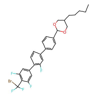 CCCCCC1COC(c2ccc(-c3ccc(-c4cc(F)c(C(F)(F)Br)c(F)c4)c(F)c3)cc2)OC1